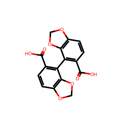 O=C(O)c1ccc2c(c1-c1c(C(=O)O)ccc3c1OCO3)OCO2